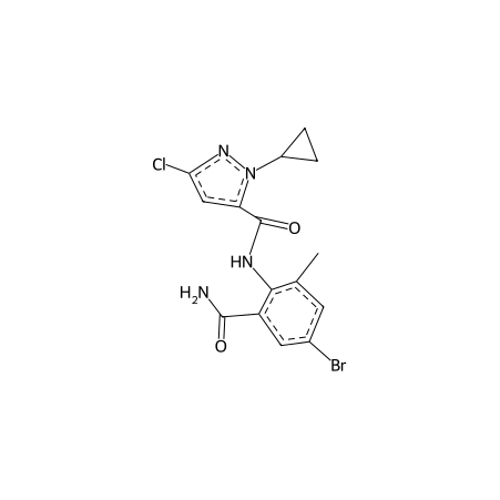 Cc1cc(Br)cc(C(N)=O)c1NC(=O)c1cc(Cl)nn1C1CC1